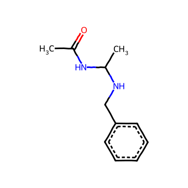 CC(=O)NC(C)NCc1ccccc1